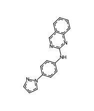 c1ccc2nc(Nc3ccc(-n4cccn4)cc3)ncc2c1